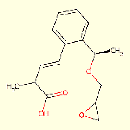 CC(C=Cc1ccccc1[C@@H](C)OCC1CO1)C(=O)O